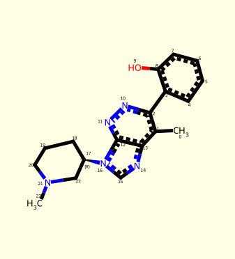 Cc1c(-c2ccccc2O)nnc2c1ncn2[C@@H]1CCCN(C)C1